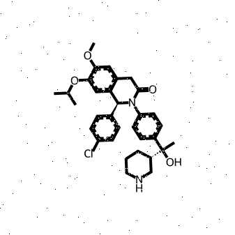 COc1cc2c(cc1OC(C)C)[C@H](c1ccc(Cl)cc1)N(c1ccc(C(C)(O)[C@H]3CCCNC3)cc1)C(=O)C2